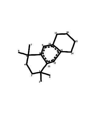 CC1(C)CCC(C)(C)c2cc3c(cc21)CCCC3